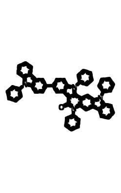 O=c1c2c3cc(-c4ccc5c(c4)c4ccccc4n5-c4ccccc4)ccc3n(-c3ccccc3)c2c2cc3c(cc2n1-c1ccccc1)c1ccccc1n3-c1ccccc1